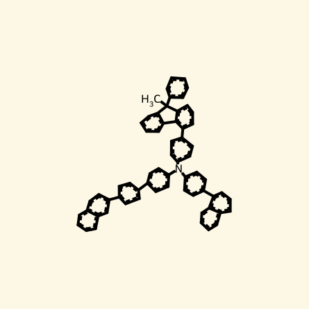 CC1(c2ccccc2)c2ccccc2-c2c(-c3ccc(N(c4ccc(-c5ccc(-c6ccc7ccccc7c6)cc5)cc4)c4ccc(-c5cccc6ccccc56)cc4)cc3)cccc21